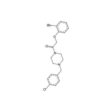 CCC(C)c1ccccc1OCC(=O)N1CCN(Cc2ccc(Cl)cc2)CC1